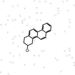 [O]C1CCc2ccc3c(ccc4ccccc43)c2C1